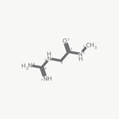 CNC(=O)CNC(=N)N